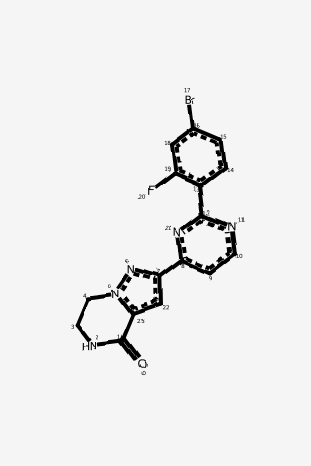 O=C1NCCn2nc(-c3ccnc(-c4ccc(Br)cc4F)n3)cc21